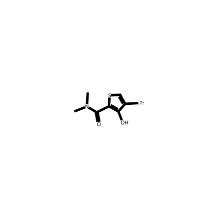 CC(C)c1csc(C(=O)N(C)C)c1O